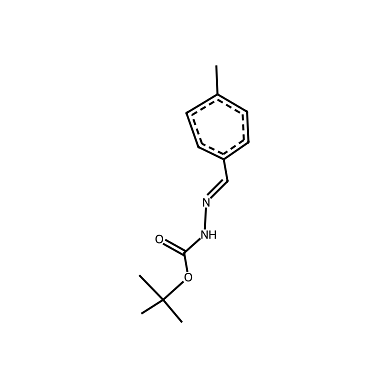 Cc1ccc(C=NNC(=O)OC(C)(C)C)cc1